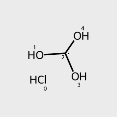 Cl.O[C](O)O